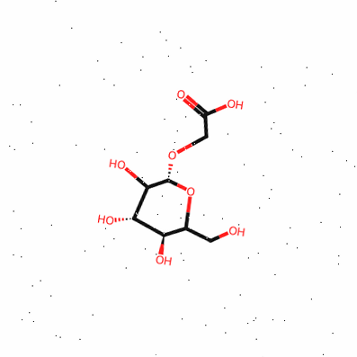 O=C(O)CO[C@@H]1OC(CO)[C@@H](O)[C@H](O)C1O